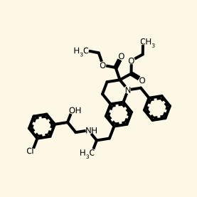 CCOC(=O)C1(C(=O)OCC)CCc2cc(CC(C)NCC(O)c3cccc(Cl)c3)ccc2N1Cc1ccccc1